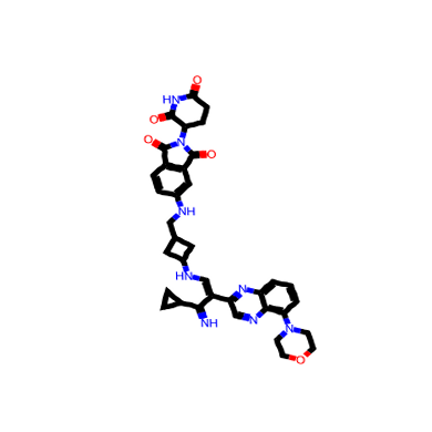 N=C(/C(=C\NC1CC(CNc2ccc3c(c2)C(=O)N(C2CCC(=O)NC2=O)C3=O)C1)c1cnc2c(N3CCOCC3)cccc2n1)C1CC1